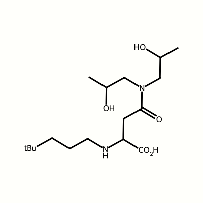 CC(O)CN(CC(C)O)C(=O)CC(NCCCC(C)(C)C)C(=O)O